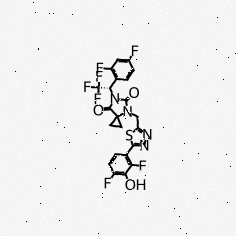 O=C1N([C@@H](c2ccc(F)cc2F)C(F)(F)F)C(=O)C2(CC2)N1Cc1nnc(-c2ccc(F)c(O)c2F)s1